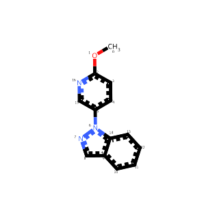 COc1ccc(-n2ncc3c[c]ccc32)cn1